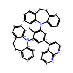 Cc1c(N2c3ccccc3CCc3ccccc32)cc(-c2ccnc3ncccc23)cc1N1c2ccccc2CCc2ccccc21